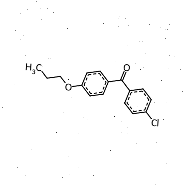 CCCOc1ccc(C(=O)c2ccc(Cl)cc2)cc1